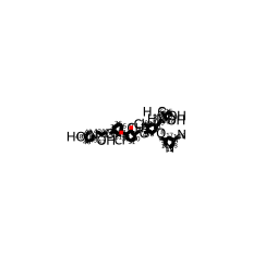 Cc1c(COc2cc(OCc3cncc(C#N)c3)c(CNC(C)(CO)CO)cc2Cl)cccc1-c1cccc(OCC(O)CN2CCC(O)C2)c1Cl